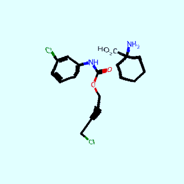 NC1(C(=O)O)CCCCC1.O=C(Nc1cccc(Cl)c1)OCC#CCCl